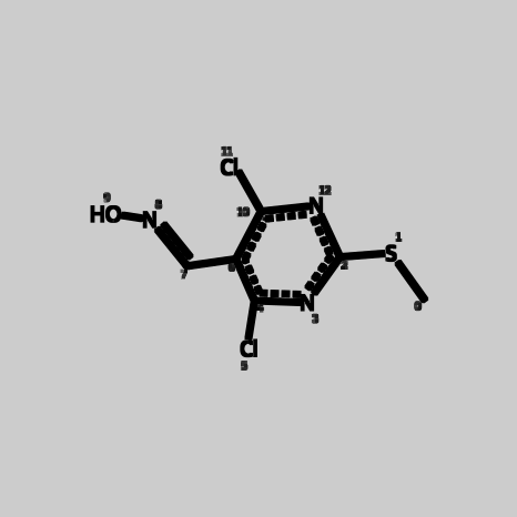 CSc1nc(Cl)c(C=NO)c(Cl)n1